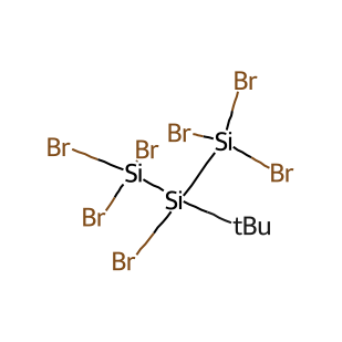 CC(C)(C)[Si](Br)([Si](Br)(Br)Br)[Si](Br)(Br)Br